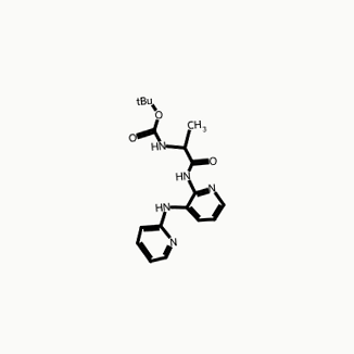 CC(NC(=O)OC(C)(C)C)C(=O)Nc1ncccc1Nc1ccccn1